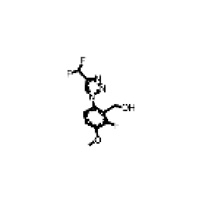 COc1ccc(-n2cc(C(F)F)nn2)c(CO)c1F